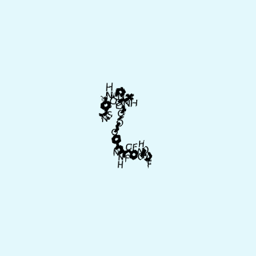 Cc1ncsc1-c1ccc([C@H](C)NC(=O)[C@@H]2CCCN2C(=O)[C@@H](NC(=O)COCCOCCOc2ccc(-c3cnc4[nH]cc(C(=O)c5c(F)ccc(NS(=O)(=O)N6CC[C@@H](F)C6)c5F)c4c3)cc2)C(C)(C)C)cc1